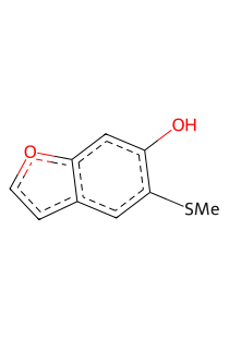 CSc1cc2ccoc2cc1O